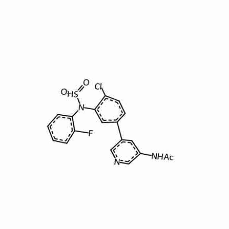 CC(=O)Nc1cncc(-c2ccc(Cl)c(N(c3ccccc3F)[SH](=O)=O)c2)c1